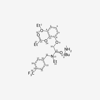 CC(C)(C)N.CCOc1cccc(OCC(=O)N(CC)Cc2ccc(C(F)(F)F)cc2)c1OC(=O)CC